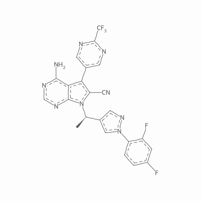 C[C@H](c1cnn(-c2ccc(F)cc2F)c1)n1c(C#N)c(-c2cnc(C(F)(F)F)nc2)c2c(N)ncnc21